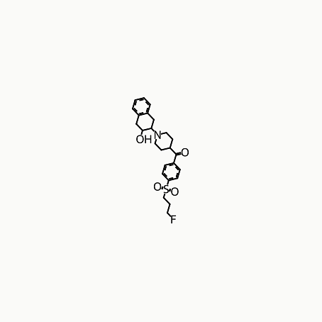 O=C(c1ccc(S(=O)(=O)CCCF)cc1)C1CCN(C2Cc3ccccc3CC2O)CC1